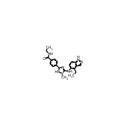 CCNC(=O)c1ccc(C2N=C(Nc3ccc4[nH]ncc4c3CC)N(C)N2)cc1